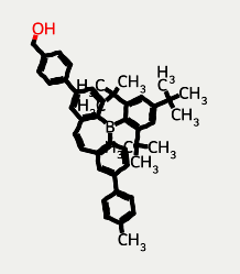 Cc1ccc(-c2ccc3c(c2)C=Cc2cc(-c4ccc(CO)cc4)ccc2B3c2c(C(C)(C)C)cc(C(C)(C)C)cc2C(C)(C)C)cc1